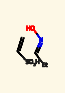 C=CS(=O)(=O)O.CCC=NO